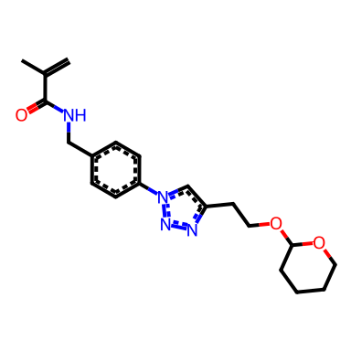 C=C(C)C(=O)NCc1ccc(-n2cc(CCOC3CCCCO3)nn2)cc1